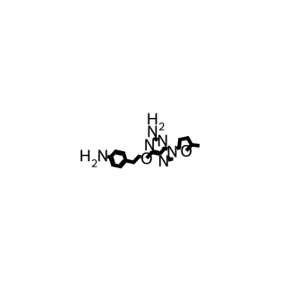 CC1CCC(n2cnc3c(OCCc4ccc(N)cc4)nc(N)nc32)O1